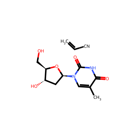 C=CC#N.Cc1cn([C@H]2C[C@H](O)[C@@H](CO)O2)c(=O)[nH]c1=O